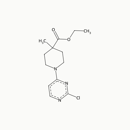 CCOC(=O)C1(C)CCN(c2ccnc(Cl)n2)CC1